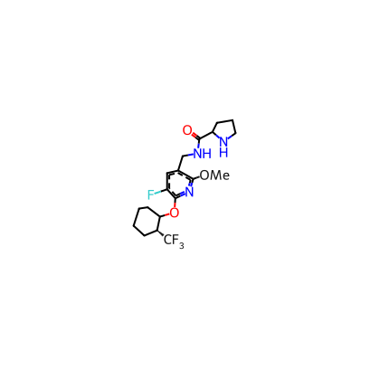 COc1nc(OC2CCCC[C@@H]2C(F)(F)F)c(F)cc1CNC(=O)C1CCCN1